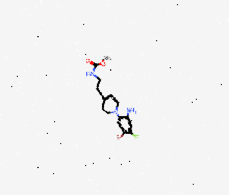 CC(C)(C)OC(=O)NCCC1CCN(c2cc(Br)c(F)cc2N)CC1